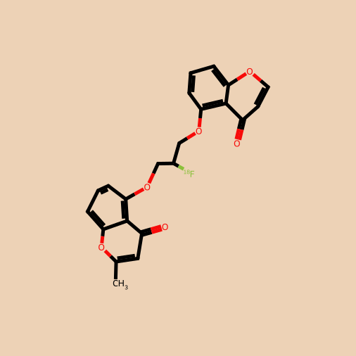 Cc1cc(=O)c2c(OCC([18F])COc3cccc4occc(=O)c34)cccc2o1